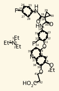 CCN(CC)CC.CCOc1cc2c(Oc3ccc(NC(=O)C4(C(=O)Nc5ccc(F)cc5)CC4)cc3F)ccnc2cc1OCCC(=O)O